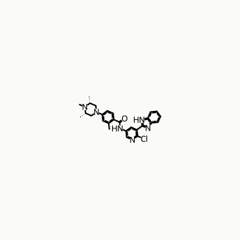 Cc1cc(N2C[C@@H](C)N(C)[C@@H](C)C2)ccc1C(=O)Nc1cnc(Cl)c(-c2nc3ccccc3[nH]2)c1